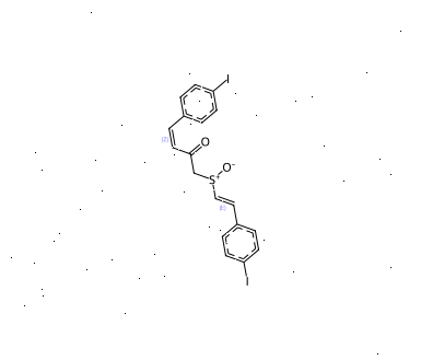 O=C(/C=C\c1ccc(I)cc1)C[S+]([O-])/C=C/c1ccc(I)cc1